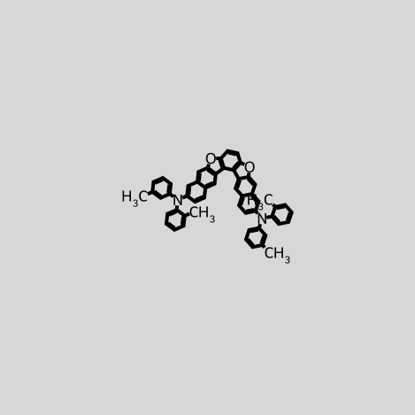 Cc1cccc(N(c2ccc3cc4c(cc3c2)oc2ccc3oc5cc6cc(N(c7cccc(C)c7)c7ccccc7C)ccc6cc5c3c24)c2ccccc2C)c1